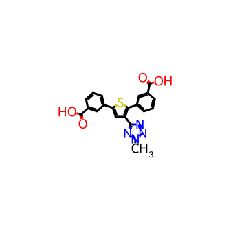 Cn1nnc(-c2cc(-c3cccc(C(=O)O)c3)sc2-c2cccc(C(=O)O)c2)n1